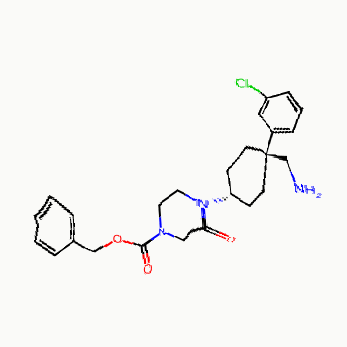 NC[C@]1(c2cccc(Cl)c2)CC[C@@H](N2CCN(C(=O)OCc3ccccc3)CC2=O)CC1